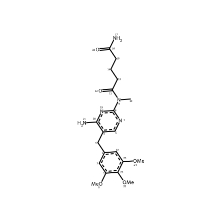 COc1cc(Cc2cnc(N(C)C(=O)CCCC(N)=O)nc2N)cc(OC)c1OC